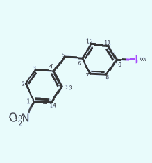 O=[N+]([O-])c1ccc(Cc2ccc(I)cc2)cc1